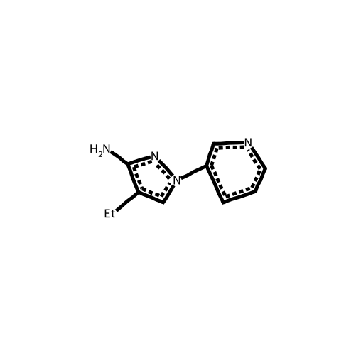 CCc1cn(-c2cccnc2)nc1N